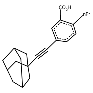 CCCc1ccc(C#CC23CC4CC(CC(C4)C2)C3)cc1C(=O)O